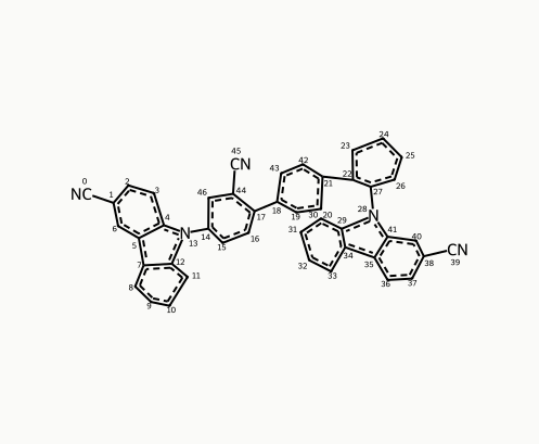 N#Cc1ccc2c(c1)c1ccccc1n2-c1ccc(-c2ccc(-c3ccccc3-n3c4ccccc4c4ccc(C#N)cc43)cc2)c(C#N)c1